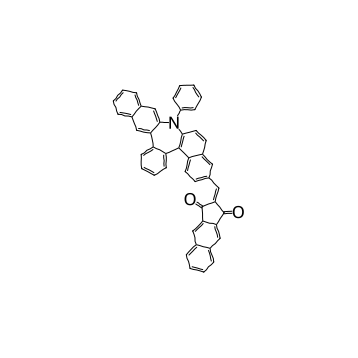 O=C1C(=Cc2ccc3c4c(ccc3c2)N(c2ccccc2)c2cc3ccccc3cc2-c2ccccc2-4)C(=O)c2cc3ccccc3cc21